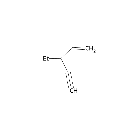 C#CC(C=C)CC